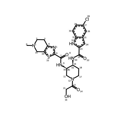 CN1CCc2nc(C(=O)N[C@@H]3CN(C(=O)CO)CC[C@@H]3NC(=O)c3cc4cc(Cl)ccc4[nH]3)sc2C1